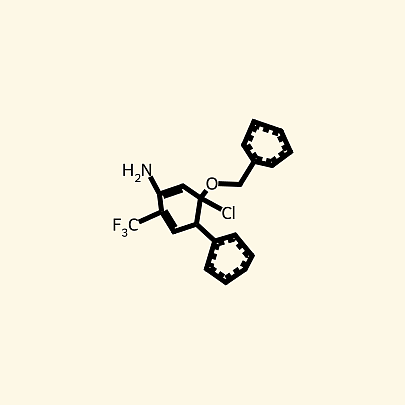 NC1=CC(Cl)(OCc2ccccc2)C(c2ccccc2)C=C1C(F)(F)F